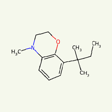 CCC(C)(C)c1cccc2c1OCCN2C